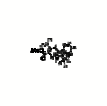 COC(=O)C1=C(C(F)F)C=C(c2ccccc2)C(F)(C2=CCCC2(C)C)C1